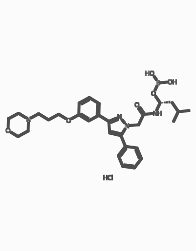 CC(C)C[C@H](NC(=O)Cn1nc(-c2cccc(OCCCN3CCOCC3)c2)cc1-c1ccccc1)OB(O)O.Cl